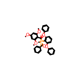 COc1cc(OC)c(C(=O)[PH](C)(C(=O)c2ccccc2)c2c(Oc3ccccc3)cccc2Oc2ccccc2)c(OC)c1